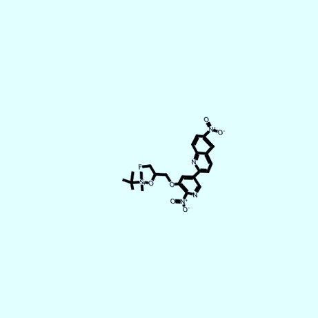 CC(C)(C)[Si](C)(C)OC(CF)COc1cc(-c2ccc3cc([N+](=O)[O-])ccc3n2)cnc1[N+](=O)[O-]